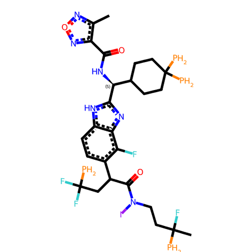 Cc1nonc1C(=O)N[C@H](c1nc2c(F)c(C(CC(F)(F)P)C(=O)N(I)CCC(C)(F)P)ccc2[nH]1)C1CCC(P)(P)CC1